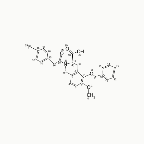 COc1ccc2c(c1OCc1ccccc1)C[C@H](C(=O)O)N(C(=O)Cc1ccc(F)cc1)C2